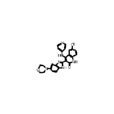 O=c1[nH]c2ccc(Cl)cc2c(Nc2ccncc2)c1-c1nc2cc(N3CCOCC3)ccc2[nH]1